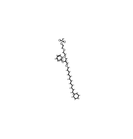 CS(=O)(=O)OCCOCCOCC(COCCCCCCCCCCCCC1CCCCC1)Oc1ncccn1